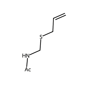 C=CCSCNC(C)=O